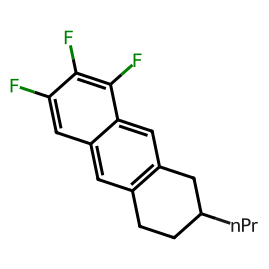 CCCC1CCc2cc3cc(F)c(F)c(F)c3cc2C1